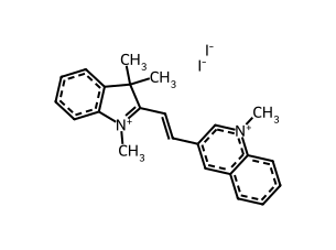 C[N+]1=C(C=Cc2cc3ccccc3[n+](C)c2)C(C)(C)c2ccccc21.[I-].[I-]